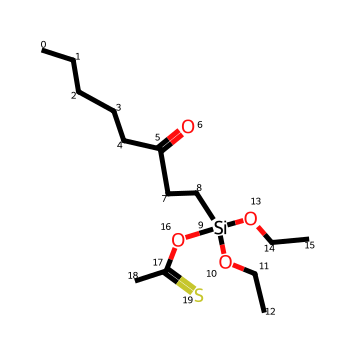 CCCCCC(=O)CC[Si](OCC)(OCC)OC(C)=S